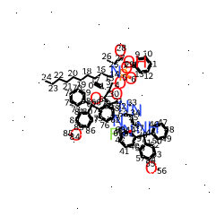 C#C[C@]1(COP(=O)(Oc2ccccc2)N(CCCCCCCCCC)[C@@H](C)C(=O)O)O[C@@H](n2cnc3c(NC(c4ccccc4)(c4ccccc4)c4ccc(OC)cc4)nc(F)nc32)C[C@@H]1OC(c1ccccc1)(c1ccccc1)c1ccc(OC)cc1